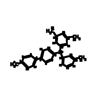 Cc1ccc(-c2ccc(N(c3cccc(C)c3)c3cc(C)cc(C)c3)cc2)cc1